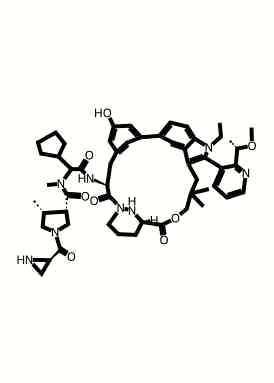 CCn1c(-c2cccnc2[C@H](C)OC)c2c3cc(ccc31)-c1cc(O)cc(c1)C[C@H](NC(=O)C(C1CCCC1)N(C)C(=O)[C@@H]1CN(C(=O)[C@H]3CN3)C[C@@H]1C)C(=O)N1CCC[C@H](N1)C(=O)OCC(C)(C)C2